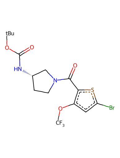 CC(C)(C)OC(=O)N[C@H]1CCN(C(=O)c2sc(Br)cc2OC(F)(F)F)C1